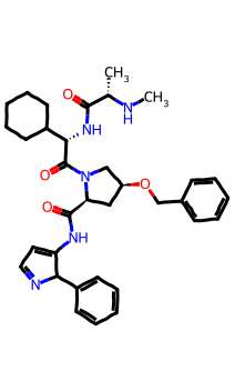 CN[C@@H](C)C(=O)N[C@H](C(=O)N1C[C@@H](OCc2ccccc2)C[C@H]1C(=O)NC1=CC=NC1c1ccccc1)C1CCCCC1